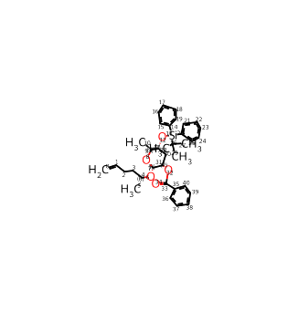 C=CCC[C@@H](C)O[C@@H]1O[C@@H](C)[C@H](O[Si](c2ccccc2)(c2ccccc2)C(C)(C)C)C[C@H]1OC(=O)c1ccccc1